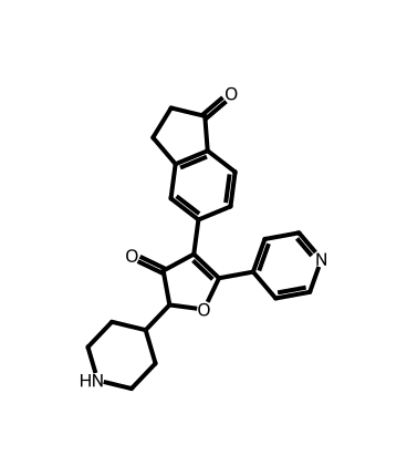 O=C1CCc2cc(C3=C(c4ccncc4)OC(C4CCNCC4)C3=O)ccc21